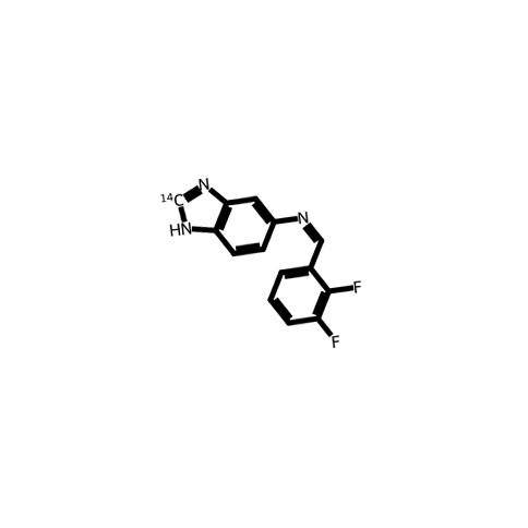 Fc1cccc(/C=N\c2ccc3[nH][14cH]nc3c2)c1F